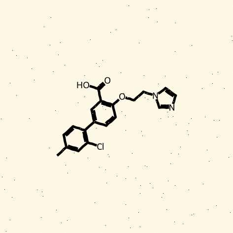 Cc1ccc(-c2ccc(OCCn3ccnc3)c(C(=O)O)c2)c(Cl)c1